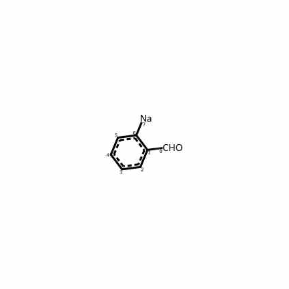 O=Cc1cccc[c]1[Na]